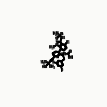 Cn1nc(NS(N)(=O)=O)c2c(Cl)ccc(-c3ccc(C#CC(C)(C)O)nc3C(Cc3cc(F)cc(F)c3)NC(=O)O)c21